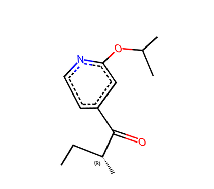 CC[C@@H](C)C(=O)c1ccnc(OC(C)C)c1